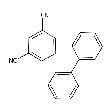 N#Cc1cccc(C#N)c1.c1ccc(-c2ccccc2)cc1